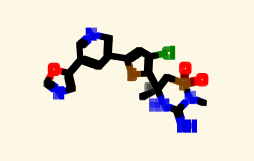 CN1C(=N)N[C@](C)(c2sc(-c3cncc(-c4cnco4)c3)cc2Cl)CS1(=O)=O